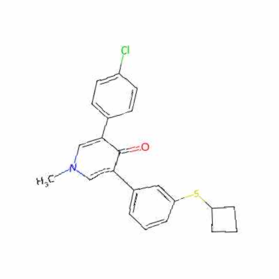 Cn1cc(-c2ccc(Cl)cc2)c(=O)c(-c2cccc(SC3CCC3)c2)c1